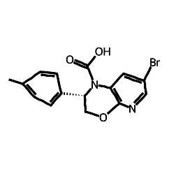 Cc1ccc([C@H]2COc3ncc(Br)cc3N2C(=O)O)cc1